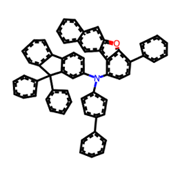 c1ccc(-c2ccc(N(c3ccc4c(c3)C(c3ccccc3)(c3ccccc3)c3ccccc3-4)c3ccc(-c4ccccc4)c4oc5cc6ccccc6cc5c34)cc2)cc1